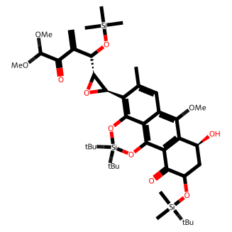 C=C(C(=O)C(OC)OC)C(O[Si](C)(C)C)[C@H]1O[C@@H]1c1c(C)cc2c(OC)c3c(c4c2c1O[Si](C(C)(C)C)(C(C)(C)C)O4)C(=O)C(O[Si](C)(C)C(C)(C)C)C[C@@H]3O